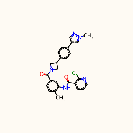 Cc1ccc(C(=O)N2CC(c3ccc(-c4cnn(C)c4)cc3)C2)cc1NC(=O)c1cccnc1Cl